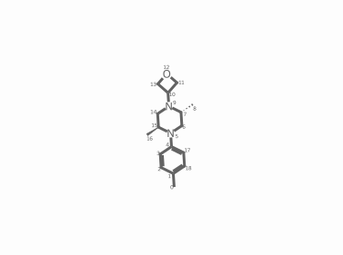 Cc1ccc(N2C[C@@H](C)N(C3COC3)C[C@@H]2C)cc1